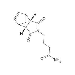 NC(=O)CCCN1C(=O)[C@@H]2C3C=CC(C3)[C@@H]2C1=O